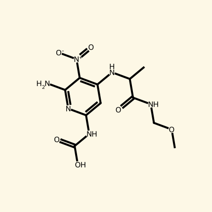 COCNC(=O)C(C)Nc1cc(NC(=O)O)nc(N)c1[N+](=O)[O-]